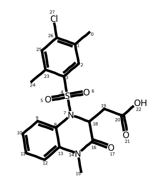 Cc1cc(S(=O)(=O)N2c3ccccc3N(C)C(=O)C2CC(=O)O)c(C)cc1Cl